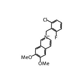 COc1cc2cc[n+](Cc3c(F)cccc3Cl)cc2cc1OC